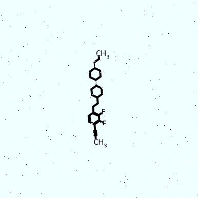 CC#Cc1ccc(CCC2CCC([C@H]3CC[C@H](CCC)CC3)CC2)c(F)c1F